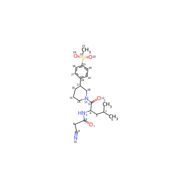 CC(C)CC(NC(=O)CC#N)C(=O)N1CCCC(c2ccc(S(C)(=O)=O)cc2)C1